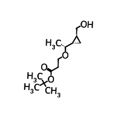 C[C@@H](OCCC(=O)OC(C)(C)C)[C@H]1C[C@@H]1CO